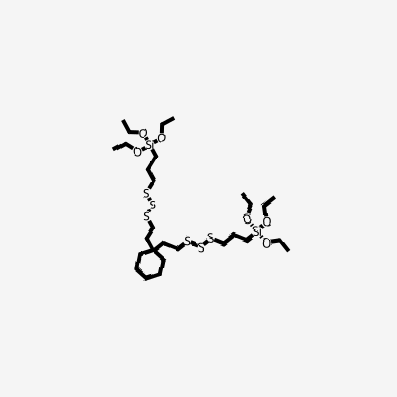 CCO[Si](CCCSSSCCC1(CCSSSCCC[Si](OCC)(OCC)OCC)CCCCC1)(OCC)OCC